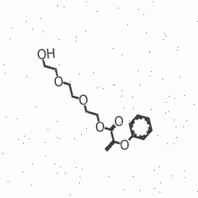 C=C(Oc1ccccc1)C(=O)OCCOCCOCCO